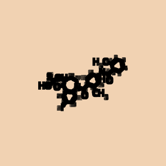 Cc1ccccc1C(=O)Nc1ccc(C(=O)N2CCCC(OP(O)(O)=S)c3cc(I)ccc32)c(C)c1